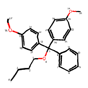 [CH2]CCCOC(c1ccccc1)(c1ccc(OC)cc1)c1ccc(OC)cc1